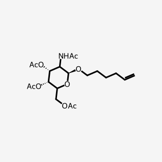 C=CCCCCO[C@H]1OC(COC(C)=O)[C@H](OC(C)=O)[C@H](OC(C)=O)C1NC(C)=O